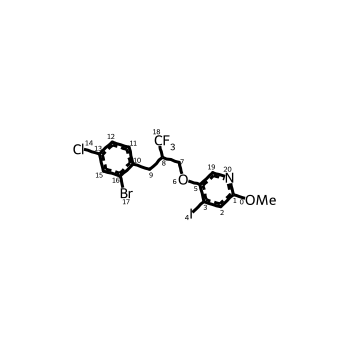 COc1cc(I)c(OCC(Cc2ccc(Cl)cc2Br)C(F)(F)F)cn1